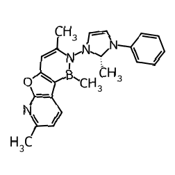 CB1c2c(oc3nc(C)ccc23)C=C(C)N1N1C=CN(c2ccccc2)[C@@H]1C